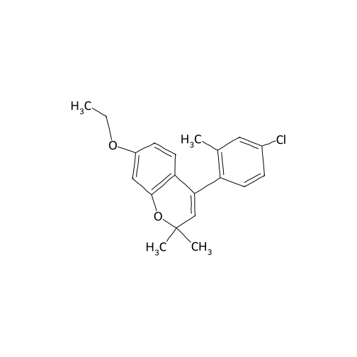 CCOc1ccc2c(c1)OC(C)(C)C=C2c1ccc(Cl)cc1C